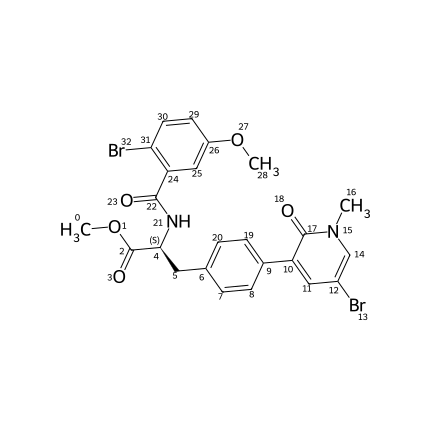 COC(=O)[C@H](Cc1ccc(-c2cc(Br)cn(C)c2=O)cc1)NC(=O)c1cc(OC)ccc1Br